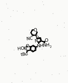 CC(C)(C)C1B(O)Oc2cc(Nc3nn([C@@H]4COCC[C@H]4C#N)cc3C(N)=O)ccc21